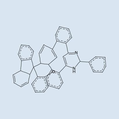 C1=CC2c3ccccc3C3(c4ccccc4OC4C=C(c5ccccc5C5=NC(c6ccccc6)NC(c6ccccc6)=C5)C=CC43)C2C=C1